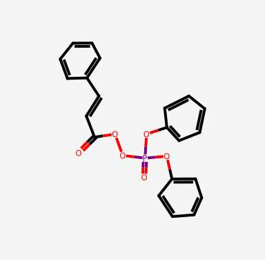 O=C(C=Cc1ccccc1)OOP(=O)(Oc1ccccc1)Oc1ccccc1